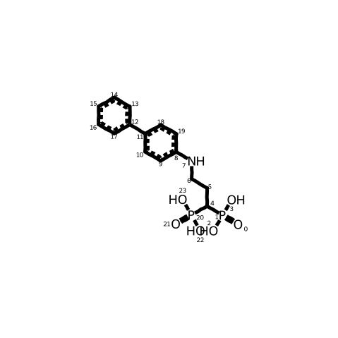 O=P(O)(O)C(CCNc1ccc(-c2ccccc2)cc1)P(=O)(O)O